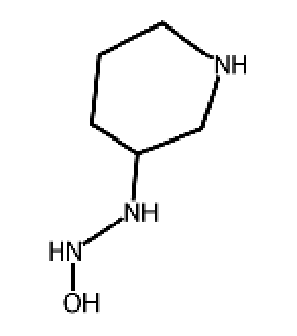 ONNC1CCCNC1